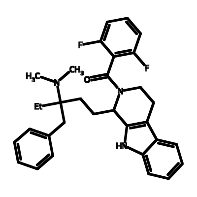 CCC(CCC1c2[nH]c3ccccc3c2CCN1C(=O)c1c(F)cccc1F)(Cc1ccccc1)N(C)C